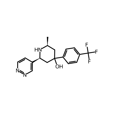 C[C@H]1CC(O)(c2ccc(C(F)(F)F)cc2)C[C@@H](c2ccnnc2)N1